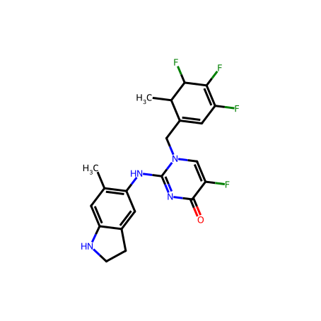 Cc1cc2c(cc1Nc1nc(=O)c(F)cn1CC1=CC(F)=C(F)C(F)C1C)CCN2